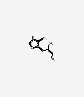 C=c1[nH]cn/c1=C/C(C)=C\C